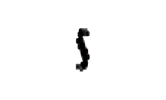 C=CC(=N)OCCCCOC(=O)C1CCC(OC(=O)C2CCC(C(=O)Oc3ccc(C(=O)OCCCCOC(=O)C=C)cc3)CC2)CC1